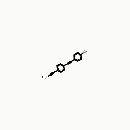 CC#Cc1ccc(C#Cc2ccc(C#N)cc2)cc1